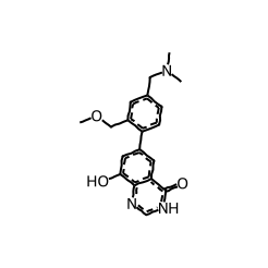 COCc1cc(CN(C)C)ccc1-c1cc(O)c2nc[nH]c(=O)c2c1